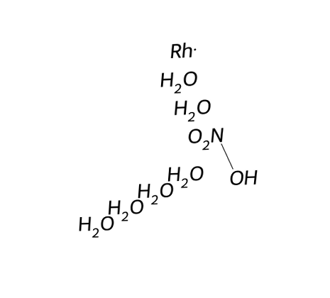 O.O.O.O.O.O.O=[N+]([O-])O.[Rh]